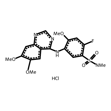 CNS(=O)(=O)c1cc(Nc2ncnc3cc(OC)c(OC)cc23)c(OC)cc1F.Cl